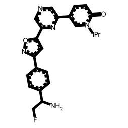 CC(C)n1cc(-c2cncc(-c3cc(-c4ccc(C(N)CF)cc4)no3)n2)ccc1=O